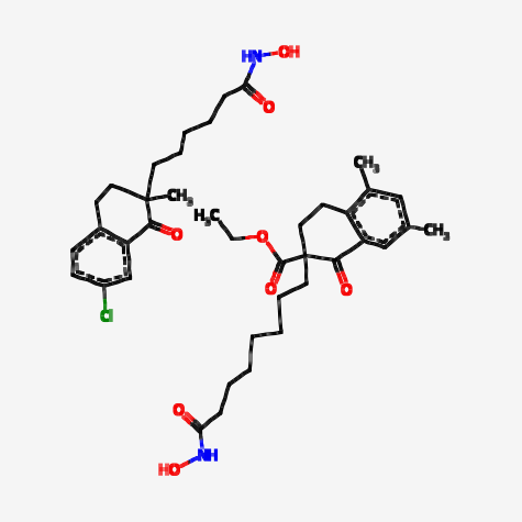 CC1(CCCCCC(=O)NO)CCc2ccc(Cl)cc2C1=O.CCOC(=O)C1(CCCCCCCC(=O)NO)CCc2c(C)cc(C)cc2C1=O